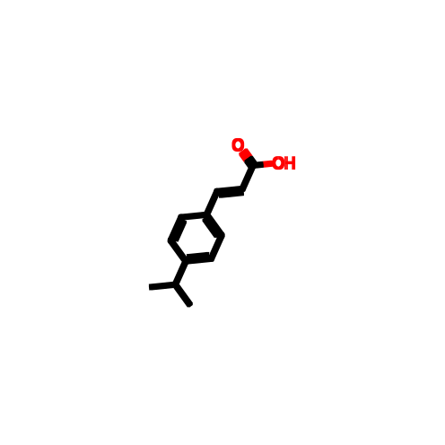 CC(C)c1ccc(/C=C/C(=O)O)cc1